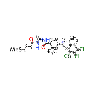 CSCCCC(=O)N[C@@H](C)NC(=O)c1ccc(/C=C/C(c2cc(Cl)c(Cl)c(Cl)c2)C(F)(F)F)cc1C(F)(F)F